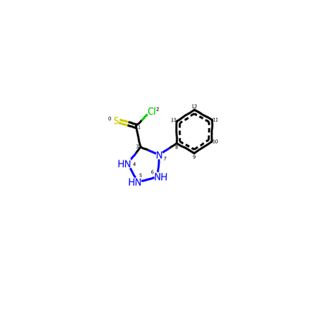 S=C(Cl)C1NNNN1c1ccccc1